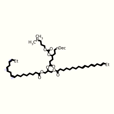 CCC=CCC=CCC=CCCCCCCCC(=O)OCC(COC(=O)CCCCCCC/C=C\C/C=C\C/C=C\CC)OC(=O)CCC(CCCCCCCCCCCC)OC(=O)OCCCN(C)C